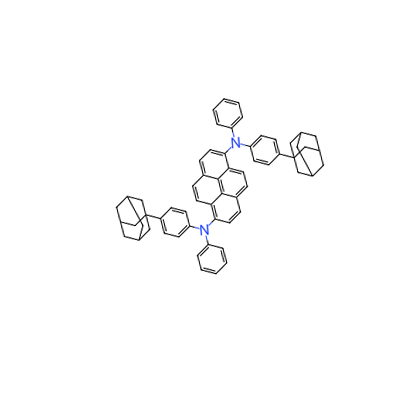 c1ccc(N(c2ccc(C34CC5CC(CC(C5)C3)C4)cc2)c2ccc3ccc4c(N(c5ccccc5)c5ccc(C67CC8CC(CC(C8)C6)C7)cc5)ccc5ccc2c3c54)cc1